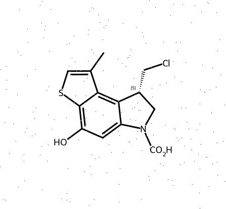 Cc1csc2c(O)cc3c(c12)[C@H](CCl)CN3C(=O)O